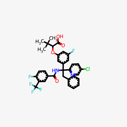 CC(C)(C)C(Oc1cc(F)cc(C(Cc2ccccc2)(NC(=O)c2ccc(F)c(C(F)(F)F)c2)c2ccc(Cl)cn2)c1)C(=O)O